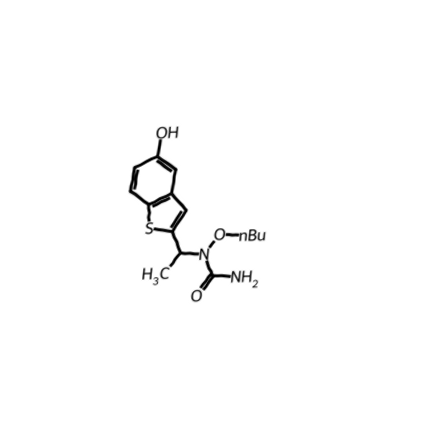 CCCCON(C(N)=O)C(C)c1cc2cc(O)ccc2s1